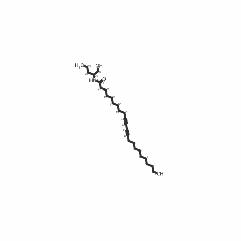 CCCCCCCCCCC#CC#CCCCCCCCCC(=O)NC(CO)CCC